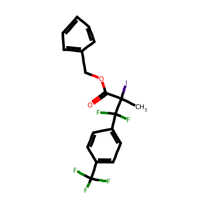 CC(I)(C(=O)OCc1ccccc1)C(F)(F)c1ccc(C(F)(F)F)cc1